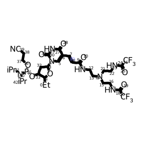 CCC1OC(n2cc(/C=C/C(=O)NCCN(CCNC(=O)C(F)(F)F)CCNC(=O)C(F)(F)F)c(=O)[nH]c2=O)CC1OP(OCCC#N)N(C(C)C)C(C)C